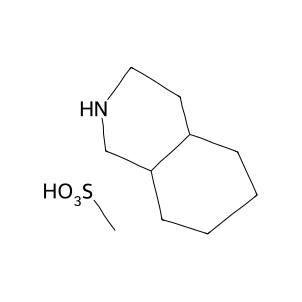 C1CCC2CNCCC2C1.CS(=O)(=O)O